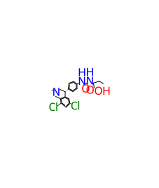 CCC(NC(=O)Nc1ccc([C@H]2CN(C)Cc3c(Cl)cc(Cl)cc32)cc1)C(=O)O